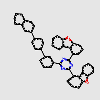 c1cc(-c2ccc(-c3ccc4ccccc4c3)cc2)cc(-c2nc(-c3cccc4oc5ccccc5c34)nc(-c3cccc4oc5ccccc5c34)n2)c1